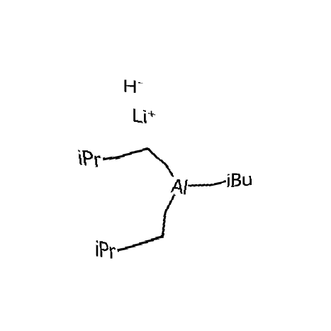 CC[CH](C)[Al]([CH2]C(C)C)[CH2]C(C)C.[H-].[Li+]